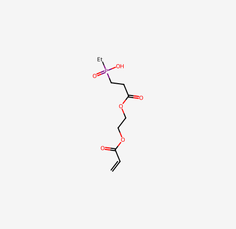 C=CC(=O)OCCOC(=O)CCP(=O)(O)CC